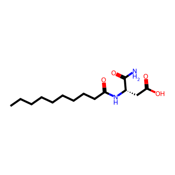 CCCCCCCCCC(=O)N[C@@H](CC(=O)O)C(N)=O